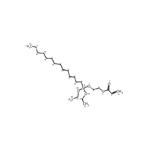 C=CC(=O)OCCO[Si](CCCCCCCCCCCCCC)(OCC)OCC